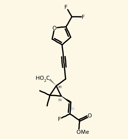 COC(=O)/C(F)=C/[C@H]1C(C)(C)[C@]1(CC#Cc1coc(C(F)F)c1)C(=O)O